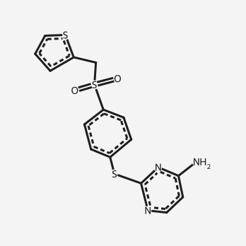 Nc1ccnc(Sc2ccc(S(=O)(=O)Cc3cccs3)cc2)n1